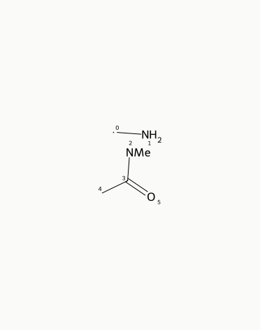 [CH2]N.[CH2]NC(C)=O